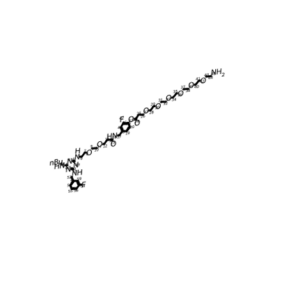 CCCCNc1nc(NCCOCCOCCC(=O)NCc2ccc(OC(=O)CCOCCOCCOCCOCCOCCOCCN)c(F)c2)nc(NCc2cccc(F)c2)n1